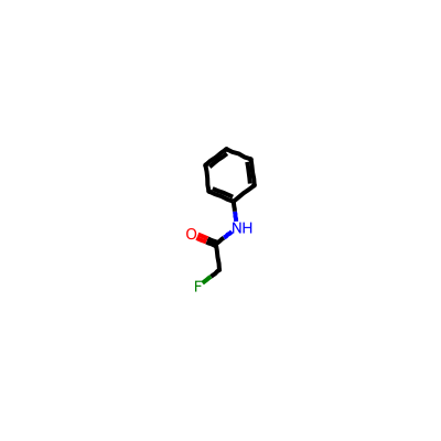 O=C(CF)Nc1ccccc1